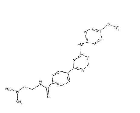 CN(C)CCNC(=O)c1ccc(-c2ncnc(Nc3ccc(OC(F)(F)F)cc3)n2)cc1